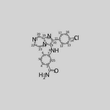 NC(=O)c1cccc(Nc2c(-c3ccc(Cl)cc3)nc3cnccn23)c1